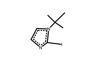 CC(C)(C)n1ccnc1I